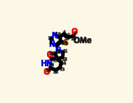 COC(=O)c1cc2ncnc(N3CCC4(CCCC(=O)NC4=O)C3)c2s1